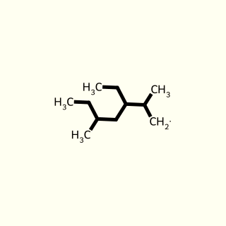 [CH2]C(C)C(CC)CC(C)CC